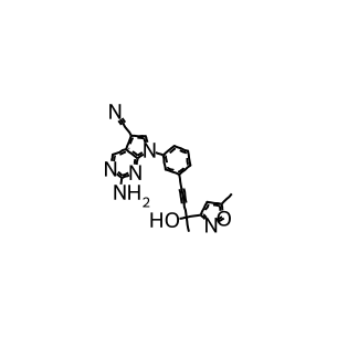 Cc1cc(C(C)(O)C#Cc2cccc(-n3cc(C#N)c4cnc(N)nc43)c2)no1